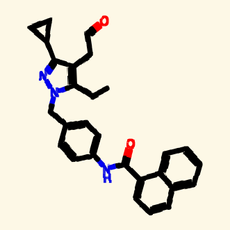 CCc1c(CC=O)c(C2CC2)nn1Cc1ccc(NC(=O)c2cccc3ccccc23)cc1